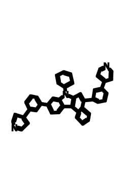 c1ccc(-n2c3cc(-c4cccc(-c5ccncc5)c4)ccc3c3c4ccccc4c(-c4cccc(-c5ccncc5)c4)cc32)cc1